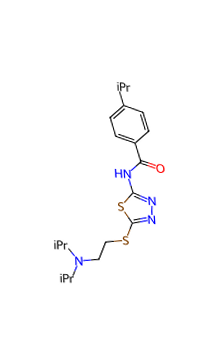 CC(C)c1ccc(C(=O)Nc2nnc(SCCN(C(C)C)C(C)C)s2)cc1